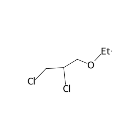 C[CH]OCC(Cl)CCl